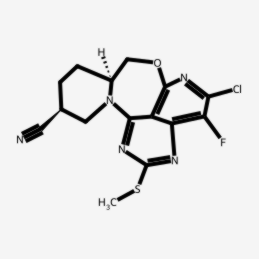 CSc1nc2c3c(nc(Cl)c(F)c3n1)OC[C@@H]1CC[C@H](C#N)CN21